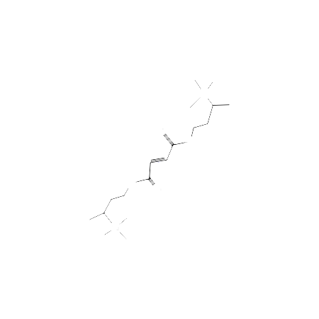 CC(CCOC(=O)/C=C/C(=O)OCCC(C)[Si](C)(C)C)[Si](C)(C)C